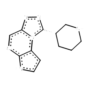 c1cc2c(ncc3nnc([C@H]4CCCNC4)n32)[nH]1